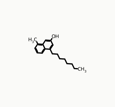 CCCCCCCCc1cc(O)cc2c(C)cccc12